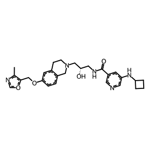 Cc1ncoc1COc1ccc2c(c1)CCN(C[C@@H](O)CNC(=O)c1cncc(NC3CCC3)c1)C2